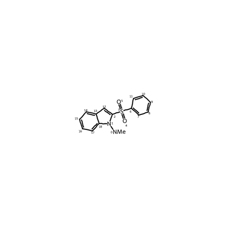 CNn1c(S(=O)(=O)c2ccccc2)cc2ccccc21